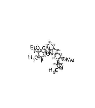 CCOC(=O)C1(c2cc(F)c(C)c(F)c2)ON=C2/C(=C\c3ccc(-n4cnc(C)c4)c(OC)c3)CCCN21